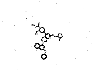 CN1CCCC1COc1nc2c(c(N3CCN(C(=O)OC(C)(C)C)C(CC#N)C3)n1)CCN(c1cc(Oc3ccccc3)cc3ccccc13)C2